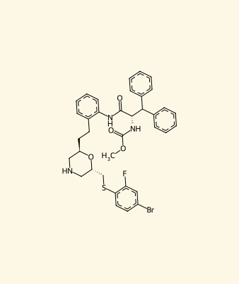 COC(=O)N[C@H](C(=O)Nc1ccccc1CC[C@@H]1CNC[C@@H](CSc2ccc(Br)cc2F)O1)C(c1ccccc1)c1ccccc1